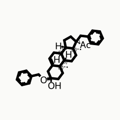 CC(=O)[C@@]1(Cc2ccccc2)CC[C@H]2[C@@H]3CC=C4C[C@@](O)(OCc5ccccc5)CC[C@]4(C)[C@H]3CC[C@@]21C